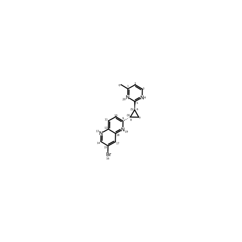 Cc1ccnc([C@H]2C[C@@H]2c2ccc3ncc(Br)cc3n2)n1